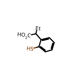 CCC(C(=O)O)c1ccccc1S